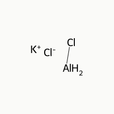 [AlH2][Cl].[Cl-].[K+]